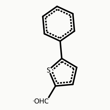 O=[C]c1ccc(-c2ccccc2)s1